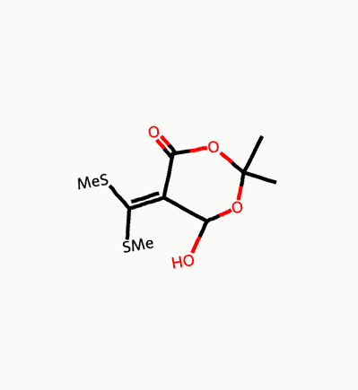 CSC(SC)=C1C(=O)OC(C)(C)OC1O